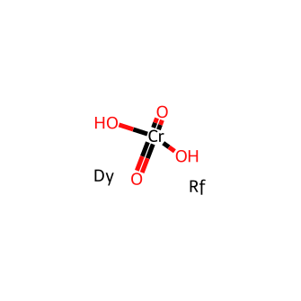 [Dy].[O]=[Cr](=[O])([OH])[OH].[Rf]